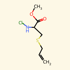 C=CCSCC(NCl)C(=O)OC